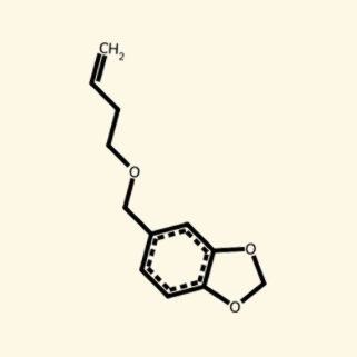 C=CCCOCc1ccc2c(c1)OCO2